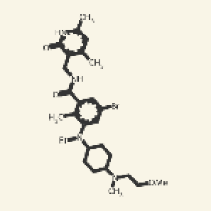 CCN(c1cc(Br)cc(C(=O)NCc2c(C)cc(C)[nH]c2=O)c1C)C1CCC(N(C)CCOC)CC1